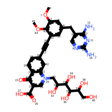 COc1cc(Cc2cnc(N)nc2N)cc(C#Cc2ccc3c(=O)c(C(=O)O)cn(CC(O)C(O)C(O)C(O)CO)c3c2)c1OC